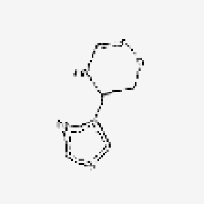 C1=NOCC(c2cscn2)N1